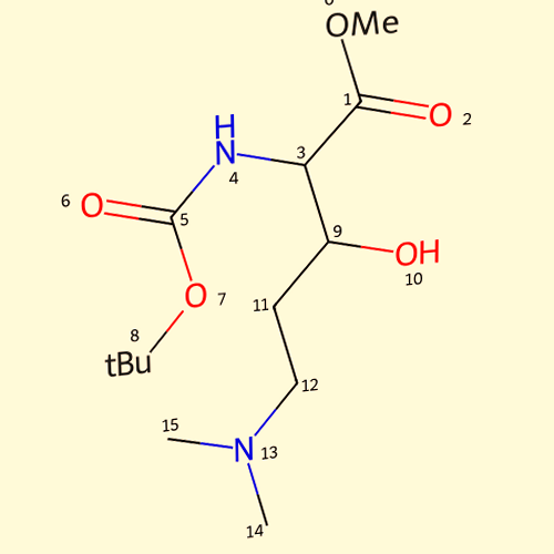 COC(=O)C(NC(=O)OC(C)(C)C)C(O)CCN(C)C